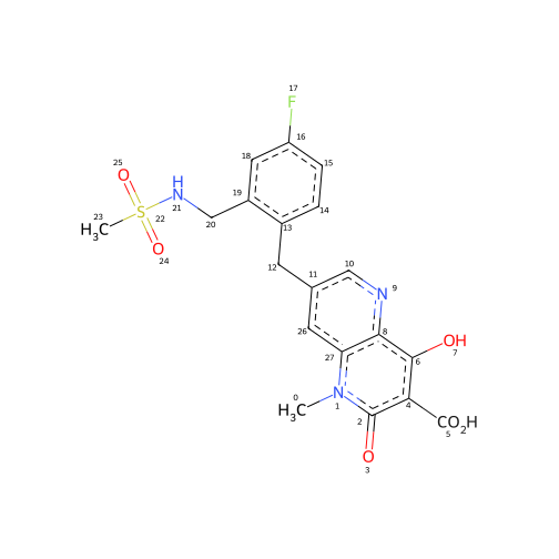 Cn1c(=O)c(C(=O)O)c(O)c2ncc(Cc3ccc(F)cc3CNS(C)(=O)=O)cc21